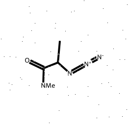 CNC(=O)C(C)N=[N+]=[N-]